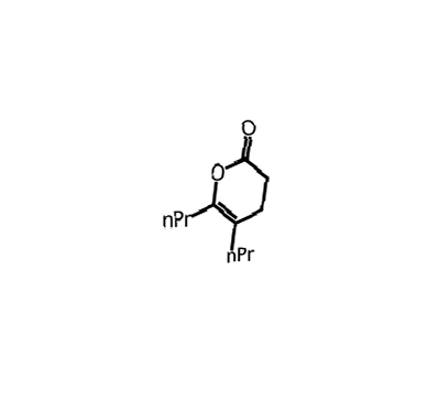 CCCC1=C(CCC)OC(=O)CC1